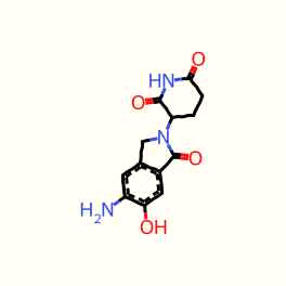 Nc1cc2c(cc1O)C(=O)N(C1CCC(=O)NC1=O)C2